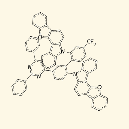 FC(F)(F)c1ccc(-c2cc(-c3cc(-c4ccccc4)nc(-c4ccccc4)n3)ccc2-n2c3ccccc3c3c4oc5ccccc5c4ccc32)c(-n2c3ccccc3c3c4oc5ccccc5c4ccc32)c1